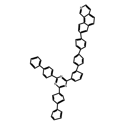 c1ccc(-c2ccc(-c3nc(-c4ccc(-c5ccccc5)cc4)nc(-c4cccc(-c5ccc(-c6ccc(-c7ccc8c(ccc9ccncc98)c7)cc6)cc5)c4)n3)cc2)cc1